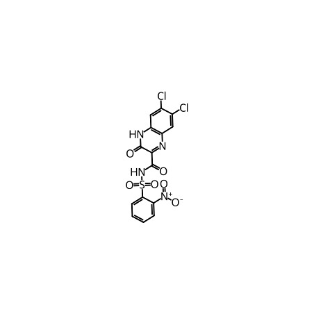 O=C(NS(=O)(=O)c1ccccc1[N+](=O)[O-])c1nc2cc(Cl)c(Cl)cc2[nH]c1=O